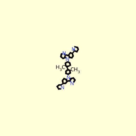 Cc1cc(-n2c3ccc(-c4ccccn4)cc3c3ncccc32)ccc1-c1ccc(-n2c3ccc(-c4ccccn4)cc3c3ncccc32)cc1C